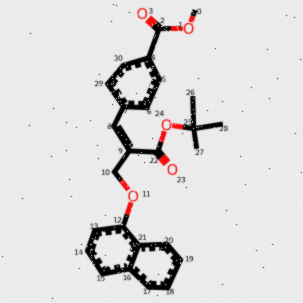 COC(=O)c1ccc(C=C(COc2cccc3ccccc23)C(=O)OC(C)(C)C)cc1